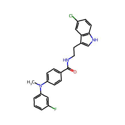 CN(c1ccc(C(=O)NCCc2c[nH]c3ccc(Cl)cc23)cc1)c1cccc(F)c1